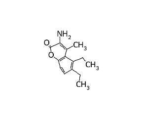 CCc1ccc2oc(=O)c(N)c(C)c2c1CC